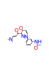 CC(=O)Nc1cccc(-n2ccc(=O)c(C(=O)C=CN(C)C)n2)c1